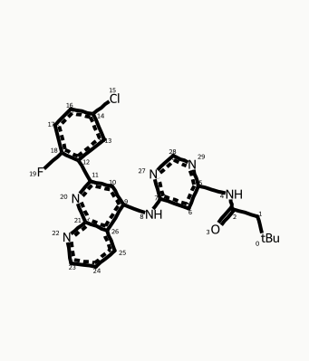 CC(C)(C)CC(=O)Nc1cc(Nc2cc(-c3cc(Cl)ccc3F)nc3ncccc23)ncn1